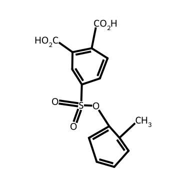 Cc1ccccc1OS(=O)(=O)c1ccc(C(=O)O)c(C(=O)O)c1